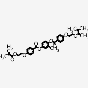 C=C(C)C(=C)OCCOc1ccc(C(=O)Oc2ccc(OC(=O)c3ccc(OCCOC(=O)C(=C)C)cc3)cc2C)cc1